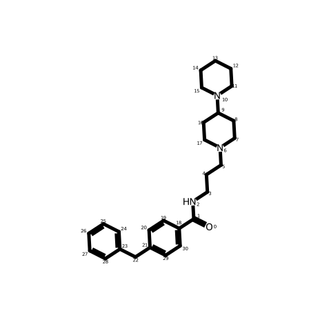 O=C(NCCCN1CCC(N2CCCCC2)CC1)c1ccc(Cc2ccccc2)cc1